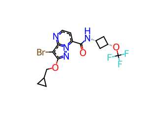 O=C(N[C@H]1C[C@@H](OC(F)(F)F)C1)c1ccnc2c(Br)c(OCC3CC3)nn12